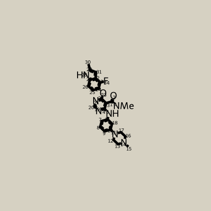 CNC(=O)c1c(Nc2cccc(N3CCN(C)CC3)c2)ncnc1Oc1ccc2[nH]c(C)cc2c1F